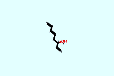 C=CC=CCC(O)C=C